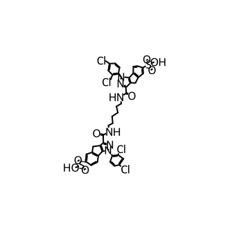 O=C(NCCCCCCNC(=O)c1nn(-c2ccc(Cl)cc2Cl)c2c1Cc1cc(S(=O)(=O)O)ccc1-2)c1nn(-c2ccc(Cl)cc2Cl)c2c1Cc1cc(S(=O)(=O)O)ccc1-2